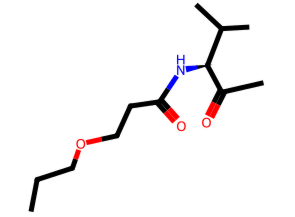 CCCOCCC(=O)N[C@H](C(C)=O)C(C)C